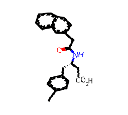 Cc1ccc(C[C@@H](CC(=O)O)NC(=O)Cc2ccc3ccccc3c2)cc1